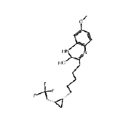 COc1ccc2c(c1)NC(O)C(CCCCC[C@@H]1C[C@@H]1CC(F)(F)F)=N2